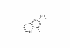 Cc1cc(N)cc2cccnc12